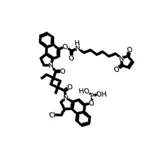 CCC1(C(=O)N2CCc3c2cc(OC(=O)NCCCCCCN2C(=O)C=CC2=O)c2ccccc32)CC(C)(C(=O)N2CC(CCl)c3c2cc(OP(O)O)c2ccccc32)C1